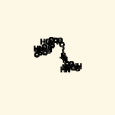 CNc1cc(N2CCN(CCCCC3CCC(Oc4cccc(-c5ccc(N6CCc7cccc(C(=O)Nc8nc9ccccc9s8)c7C6)nc5C(=O)O)c4C)CC3)C(C)C2)ccc1C(=N)C1CCC(=O)NC1=O